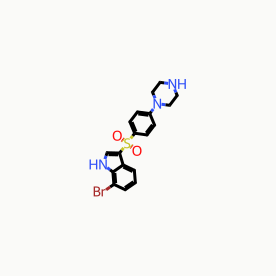 O=S(=O)(c1ccc(N2CCNCC2)cc1)c1c[nH]c2c(Br)cccc12